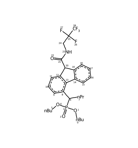 CCCCOP(=O)(OCCCC)C(CCC)c1cccc2c1-c1ccccc1C2C(=O)NCC(F)(F)C(F)(F)F